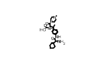 CC(c1ccc(NC(=O)C(N)C2CCCCC2)cc1)C(NC(=O)O)C(=O)N1CCN(C)CC1